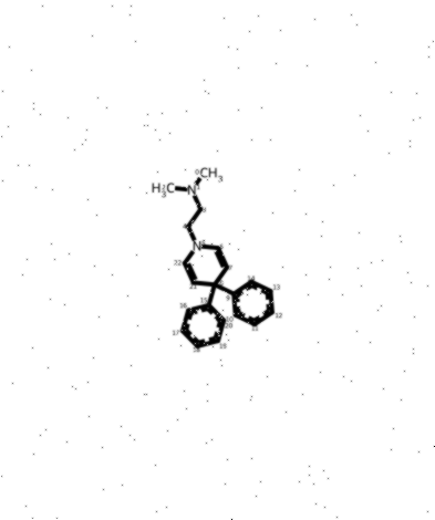 CN(C)CCN1C=CC(c2ccccc2)(c2ccccc2)C=C1